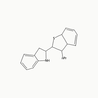 CCCC1C2C=CC=CC2SC1C1Cc2ccccc2N1